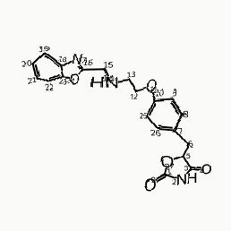 O=C1NC(=O)C(Cc2ccc(OCCNCc3nc4ccccc4o3)cc2)O1